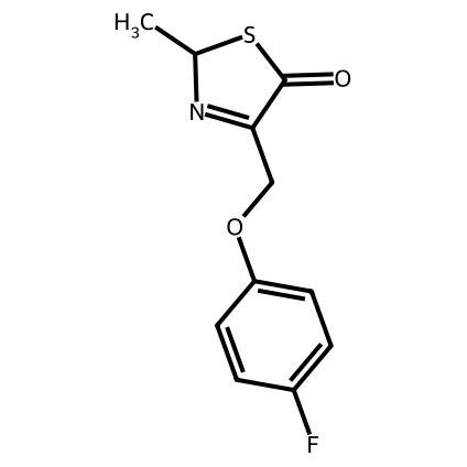 CC1N=C(COc2ccc(F)cc2)C(=O)S1